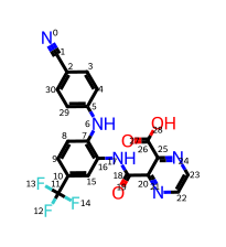 N#Cc1ccc(Nc2ccc(C(F)(F)F)cc2NC(=O)c2nccnc2C(=O)O)cc1